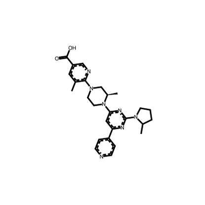 Cc1cc(C(=O)O)cnc1N1CCN(c2cc(-c3ccncc3)nc(N3CCCC3C)n2)[C@H](C)C1